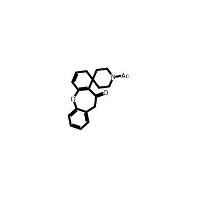 CC(=O)N1CCC2(CC=CC3=C2C(=O)Cc2ccccc2O3)CC1